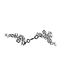 CC(C)[C@H](NC(=O)N1CCN(C)CC1)C(=O)N1CCC[C@H]1c1ncc(-c2ccc(C#Cc3ccc(-c4cnc([C@@H]5CCCN5C(=O)[C@@H](NC(=O)N5CCN(C)CC5)C(C)C)[nH]4)cc3)cc2)[nH]1